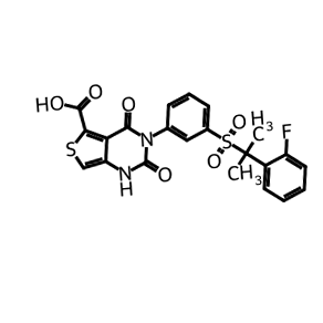 CC(C)(c1ccccc1F)S(=O)(=O)c1cccc(-n2c(=O)[nH]c3csc(C(=O)O)c3c2=O)c1